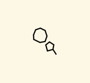 C1CCCCCCC1.CC1CCCC1